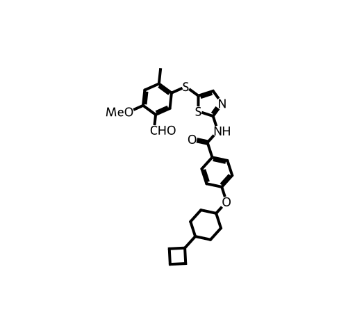 COc1cc(C)c(Sc2cnc(NC(=O)c3ccc(OC4CCC(C5CCC5)CC4)cc3)s2)cc1C=O